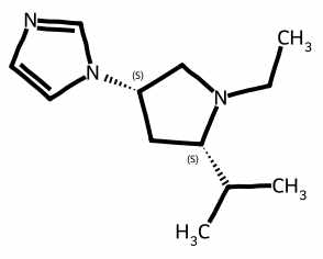 CCN1C[C@@H](n2ccnc2)C[C@H]1C(C)C